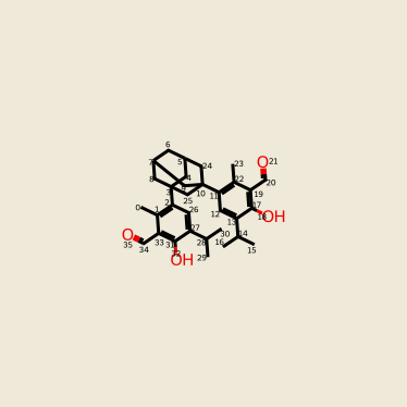 Cc1c(C23CC4CC(C2)CC(c2cc(C(C)C)c(O)c(C=O)c2C)(C4)C3)cc(C(C)C)c(O)c1C=O